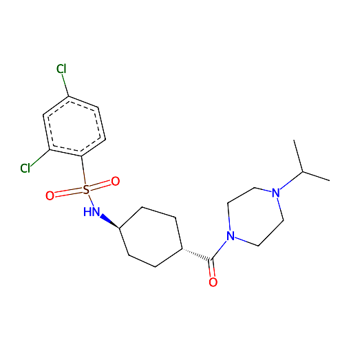 CC(C)N1CCN(C(=O)[C@H]2CC[C@H](NS(=O)(=O)c3ccc(Cl)cc3Cl)CC2)CC1